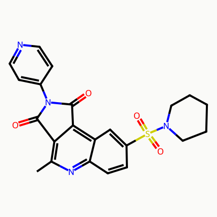 Cc1nc2ccc(S(=O)(=O)N3CCCCC3)cc2c2c1C(=O)N(c1ccncc1)C2=O